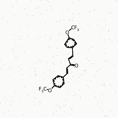 O=C(/C=C/c1ccc(OC(F)(F)F)cc1)/C=C/c1ccc(OC(F)(F)F)cc1